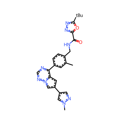 Cc1cc(-c2ncnn3cc(-c4cnn(C)c4)cc23)ccc1CNC(=O)c1nnc(C(C)(C)C)o1